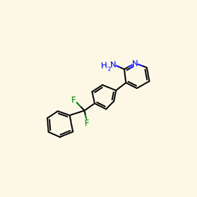 Nc1ncccc1-c1ccc(C(F)(F)c2ccccc2)cc1